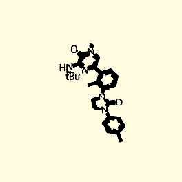 Cc1ccc(N2CCN(c3cccc(-c4cn(C)c(=O)c(NC(C)(C)C)n4)c3C)C2=O)cc1